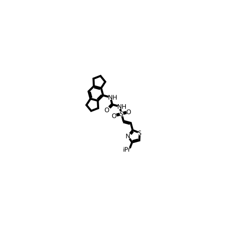 CC(C)c1csc(/C=C/S(=O)(=O)NC(=O)Nc2c3c(cc4c2CCC4)CCC3)n1